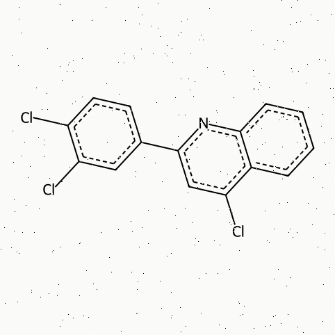 Clc1ccc(-c2cc(Cl)c3ccccc3n2)cc1Cl